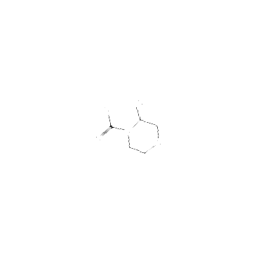 N#CC1CNCCN1C(=N)N